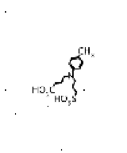 Cc1ccc(N(CCCC(=O)O)CCCS(=O)(=O)O)cc1